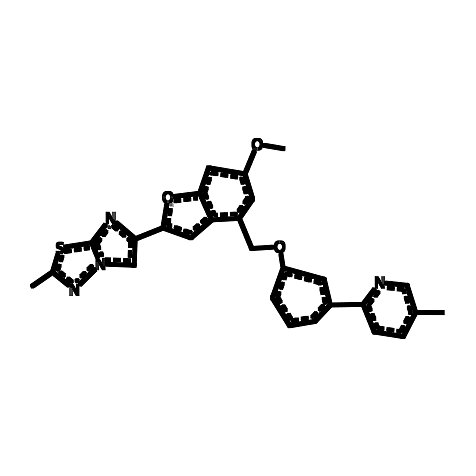 COc1cc(COc2cccc(-c3ccc(C)cn3)c2)c2cc(-c3cn4nc(C)sc4n3)oc2c1